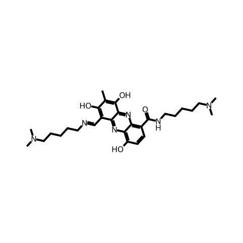 Cc1c(O)c(/C=N/CCCCCN(C)C)c2nc3c(O)ccc(C(=O)NCCCCCN(C)C)c3nc2c1O